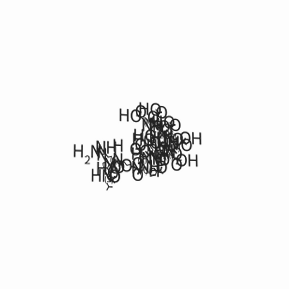 CC(=O)c1ccc(C[C@@H](NC(=O)[C@@H](CCC(=O)O)NC(=O)[C@@H](CCC(=O)O)NC(=O)[C@@H](CCC(=O)O)CC(=O)[C@@H](CCC(=O)O)NC(=O)[C@@H](CCC(=O)O)NC(=O)[C@@H](CCC(=O)O)NC(=O)[C@@H](CCC(=O)O)CC(=O)[C@@H](CCC(=O)O)NC(=O)[C@H](N)CCC(=O)O)C(=O)NCCOCC(=O)N[C@@H](CCCNC(=N)N)C(=O)N2CCCC2C(=O)N[C@@H](CC(C)C)C(C)=O)cc1